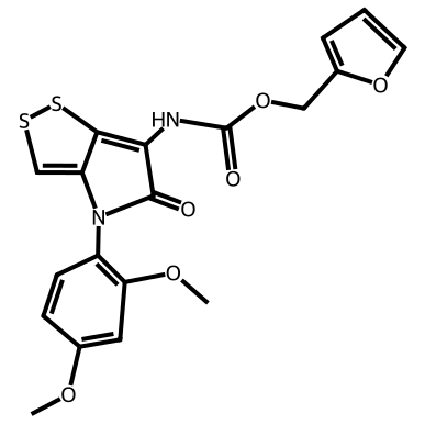 COc1ccc(-n2c3cssc-3c(NC(=O)OCc3ccco3)c2=O)c(OC)c1